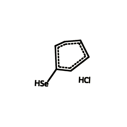 Cl.[SeH]c1ccccc1